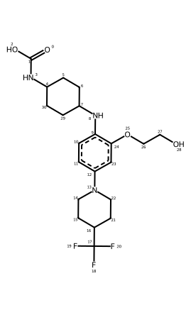 O=C(O)NC1CCC(Nc2ccc(N3CCC(C(F)(F)F)CC3)cc2OCCO)CC1